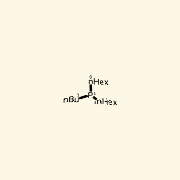 CCCCCCP(CCCC)CCCCCC